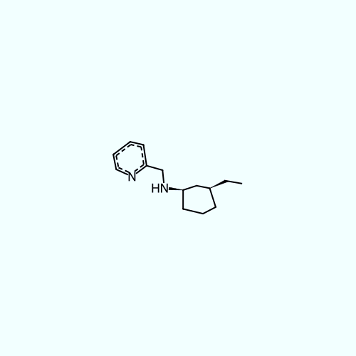 CC[C@H]1CCC[C@@H](NCc2ccccn2)C1